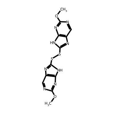 COc1ncc2nc(SSc3nc4cnc(OC)nc4[nH]3)[nH]c2n1